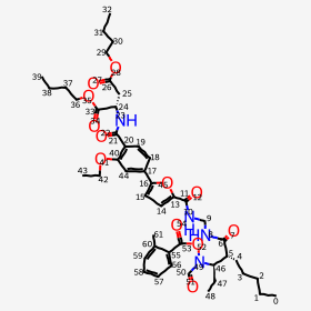 CCCCC[C@@H](C(=O)NCNC(=O)c1ccc(-c2ccc(C(=O)N[C@@H](CC(=O)OCCCC)C(=O)OCCCC)c(OCC)c2)o1)[C@@H](CC)N(C=O)OC(=O)c1ccccc1C